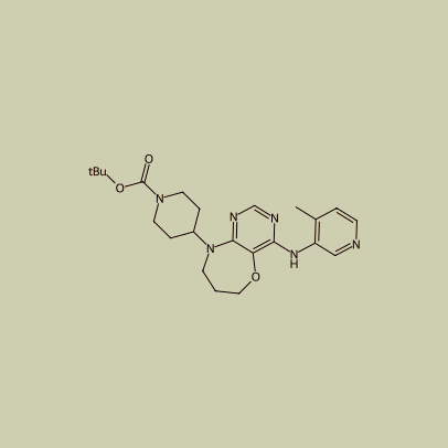 Cc1ccncc1Nc1ncnc2c1OCCCN2C1CCN(C(=O)OC(C)(C)C)CC1